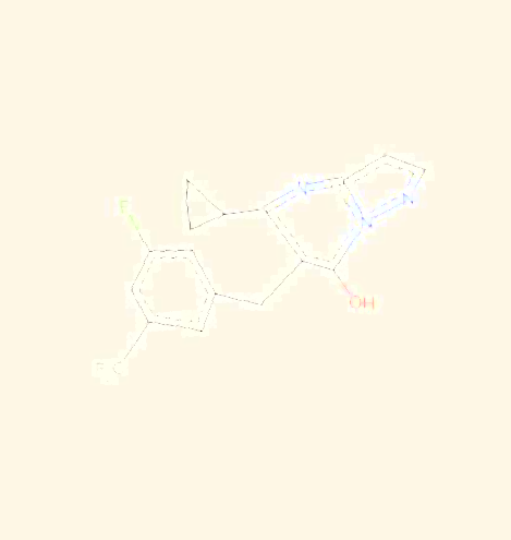 Oc1c(Cc2cc(F)cc(C(F)(F)F)c2)c(C2CC2)nc2ccnn12